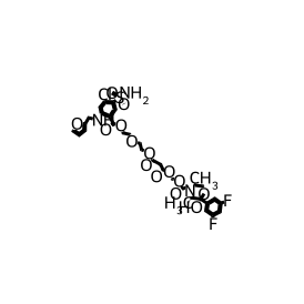 C[C@@H]1CO[C@@](O)(c2cc(F)cc(F)c2)[C@H](C)N1C(=O)OCOC(=O)CC(=O)OCCOCCOC(=O)c1cc(S(N)(=O)=O)c(Cl)cc1NCc1ccco1